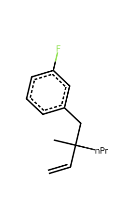 C=CC(C)(CCC)Cc1cccc(F)c1